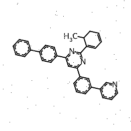 CC1CC=CC=C1c1nc(-c2ccc(-c3ccccc3)cc2)cc(-c2cccc(-c3cccnc3)c2)n1